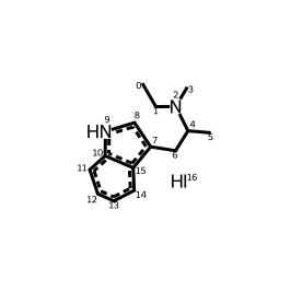 CCN(C)C(C)Cc1c[nH]c2ccccc12.I